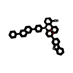 OC1=CCCC(N(c2ccc(-c3ccc4cc(-c5ccccc5)ccc4c3)cc2)c2ccc(-c3ccc4c(c3)oc3ccccc34)cc2)=C1c1ccccc1